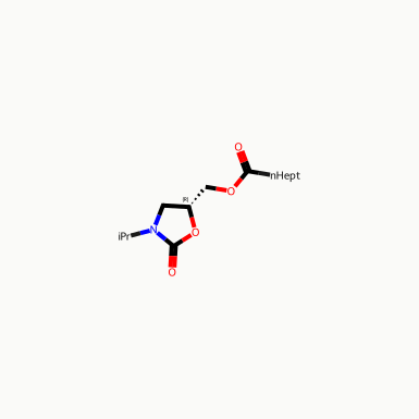 CCCCCCCC(=O)OC[C@H]1CN(C(C)C)C(=O)O1